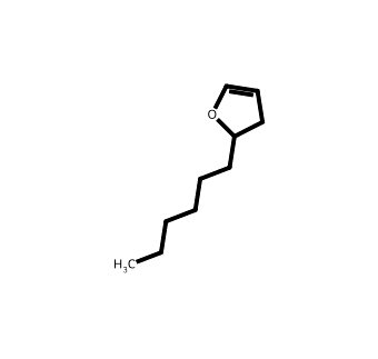 CCCCCC[C]1CC=CO1